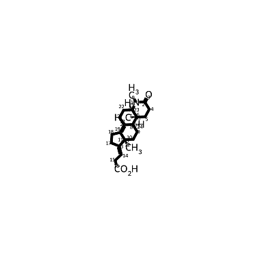 CN1C(=O)CC[C@]2(C)[C@H]3CC[C@]4(C)C(=CCC(=O)O)CCC4=C3CC[C@@H]12